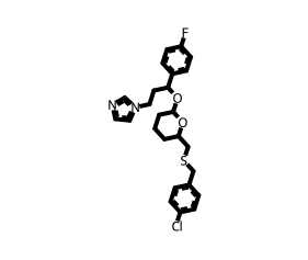 Fc1ccc(C(CCn2ccnc2)OC2CCCC(CSCc3ccc(Cl)cc3)O2)cc1